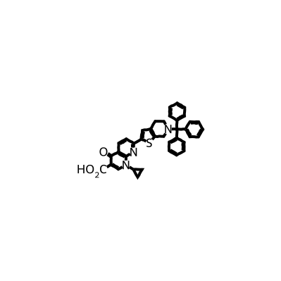 O=C(O)c1cn(C2CC2)c2nc(-c3cc4c(s3)CN(C(c3ccccc3)(c3ccccc3)c3ccccc3)CC4)ccc2c1=O